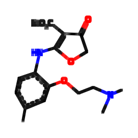 CCOC(=O)C1=C(Nc2ccc(C)cc2OCCN(C)C)OCC1=O